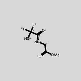 COC(=O)CNC(=O)C(F)(F)S